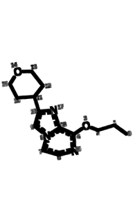 CCCOc1nccn2cc(C3CCOCC3)nc12